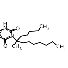 CCCCCCCC(C)(CCCCC)n1c(=O)cc[nH]c1=O